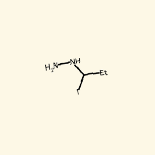 CCC(I)NN